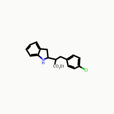 CCOC(=O)C(Cc1ccc(Cl)cc1)C1Cc2ccccc2N1